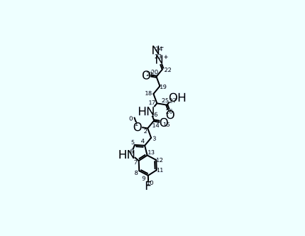 COC(Cc1c[nH]c2cc(F)ccc12)C(=O)NC(CCC(=O)C=[N+]=[N-])C(=O)O